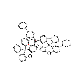 c1ccc(-c2ccc(N(c3ccc4c(c3)C(c3ccccc3)(c3ccccc3)c3ccccc3O4)c3ccc4c(c3)C3(c5cc(C6CCCCC6)ccc5Oc5ccc(C6CCCCC6)cc53)c3ccccc3-4)cc2)cc1